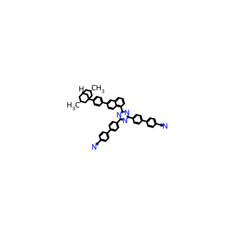 C[C@@H]1C[C@@H]2C[C@H](C)CC(c3ccc(-c4ccc5c(-c6nc(-c7ccc(-c8ccc(C#N)cc8)cc7)nc(-c7ccc(-c8ccc(C#N)cc8)cc7)n6)cccc5c4)cc3)(C1)C2